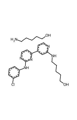 NCCCCCO.OCCCCCNc1cc(-c2ccnc(Nc3cccc(Cl)c3)n2)ccn1